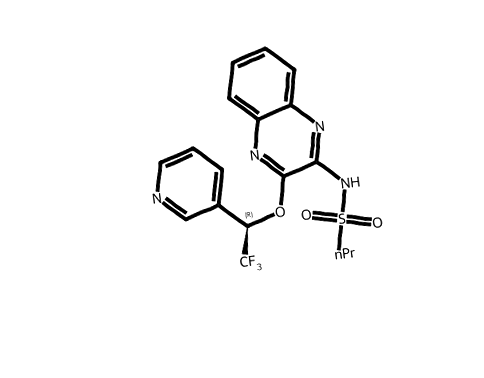 CCCS(=O)(=O)Nc1nc2ccccc2nc1O[C@H](c1cccnc1)C(F)(F)F